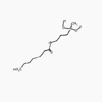 CCO[Si](C)(CCCNC(=O)CCCCCC(=O)O)OCC